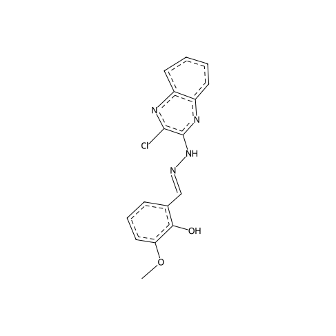 COc1cccc(C=NNc2nc3ccccc3nc2Cl)c1O